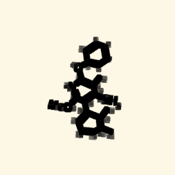 COc1nc(Oc2ccccc2)c(C)c([SiH3])c1-c1cccc(C)c1C